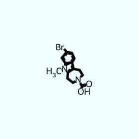 Cn1c2c(c3ccc(Br)cc31)CCN(C(=O)O)CC2